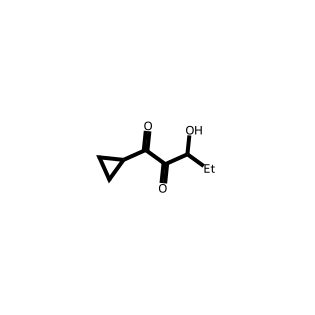 CCC(O)C(=O)C(=O)C1CC1